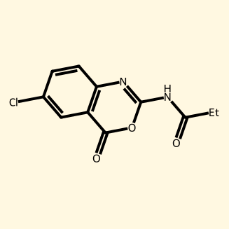 CCC(=O)Nc1nc2ccc(Cl)cc2c(=O)o1